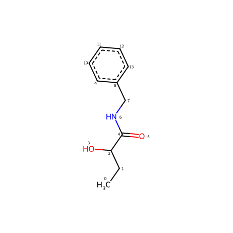 CCC(O)C(=O)NCc1ccccc1